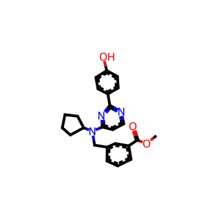 COC(=O)c1cccc(CN(c2ccnc(-c3ccc(O)cc3)n2)C2CCCC2)c1